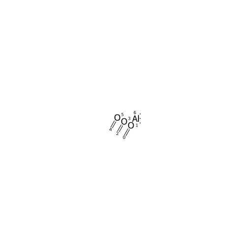 C=O.C=O.C=O.[Al]